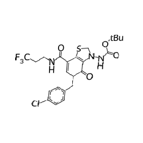 CC(C)(C)OC(=O)NN1CSC2=C1C(=O)C(Cc1ccc(Cl)cc1)C=C2C(=O)NCCC(F)(F)F